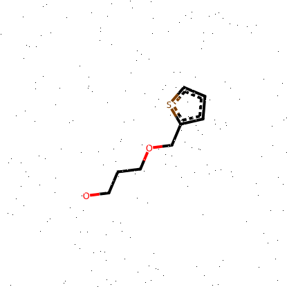 [O]CCCOCc1cccs1